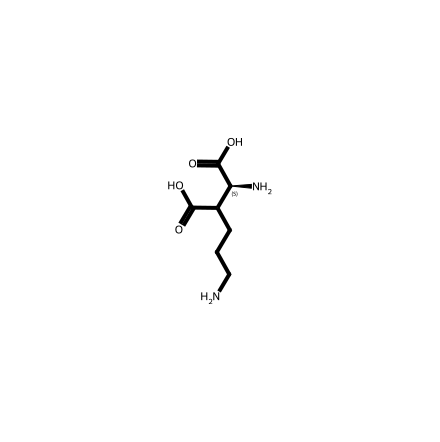 NCCCC(C(=O)O)[C@H](N)C(=O)O